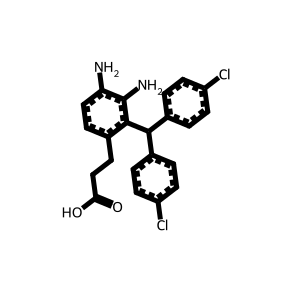 Nc1ccc(CCC(=O)O)c(C(c2ccc(Cl)cc2)c2ccc(Cl)cc2)c1N